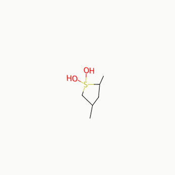 CC1CC(C)S(O)(O)C1